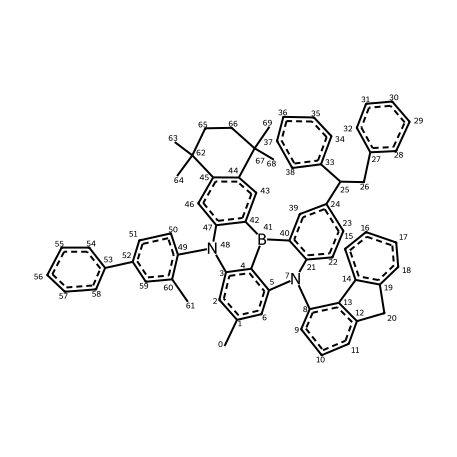 Cc1cc2c3c(c1)N(c1cccc4c1-c1ccccc1C4)c1ccc(C(Cc4ccccc4)c4ccccc4)cc1B3c1cc3c(cc1N2c1ccc(-c2ccccc2)cc1C)C(C)(C)CCC3(C)C